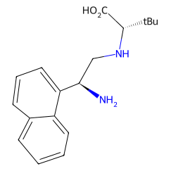 CC(C)(C)[C@H](NC[C@@H](N)c1cccc2ccccc12)C(=O)O